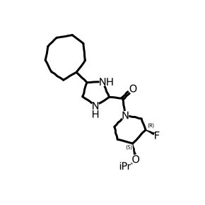 CC(C)O[C@H]1CCN(C(=O)C2NCC(C3CCCCCCCC3)N2)C[C@H]1F